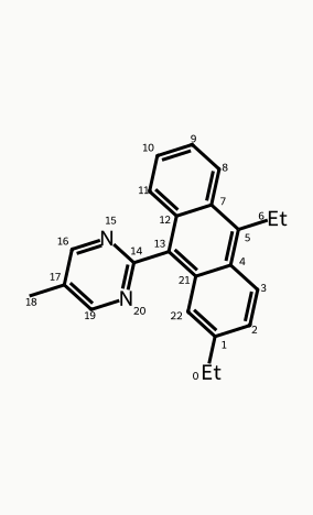 CCc1ccc2c(CC)c3ccccc3c(-c3ncc(C)cn3)c2c1